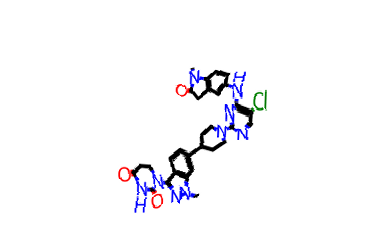 CN1C(=O)Cc2cc(Nc3nc(N4CCC(c5ccc6c(N7CCC(=O)NC7=O)nn(C)c6c5)CC4)ncc3Cl)ccc21